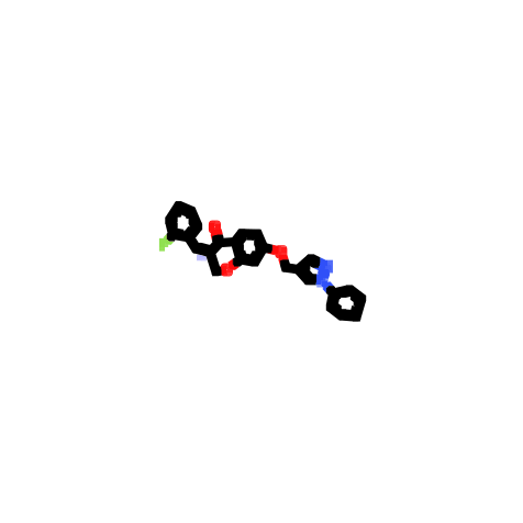 O=C1/C(=C\c2ccccc2F)COc2cc(OCc3cnn(-c4ccccc4)c3)ccc21